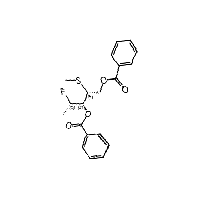 CS[C@H](COC(=O)c1ccccc1)[C@@H](OC(=O)c1ccccc1)[C@H](C)F